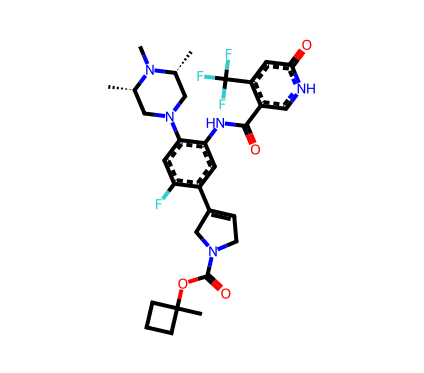 C[C@@H]1CN(c2cc(F)c(C3=CCN(C(=O)OC4(C)CCC4)C3)cc2NC(=O)c2c[nH]c(=O)cc2C(F)(F)F)C[C@H](C)N1C